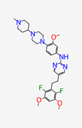 COc1cc(Nc2ncc(CCc3c(F)c(OC)cc(OC)c3F)cn2)ccc1N1CCN(C2CCN(C)CC2)CC1